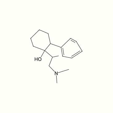 CC(CN(C)C)C1(O)CCCCC1c1ccccc1